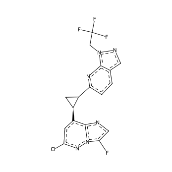 Fc1cnc2c([C@H]3CC3c3ccc4cnn(CC(F)(F)F)c4n3)cc(Cl)nn12